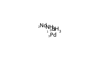 B.N.[Nd].[Pd]